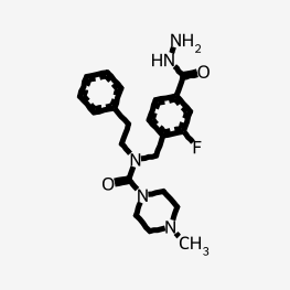 CN1CCN(C(=O)N(CCc2ccccc2)Cc2ccc(C(=O)NN)cc2F)CC1